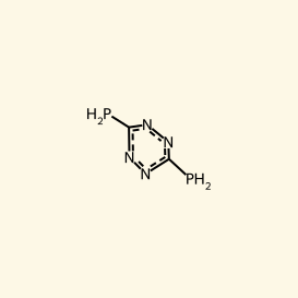 Pc1nnc(P)nn1